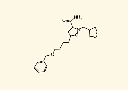 NC(=O)C1CC(CCCCOCc2ccccc2)ON1CC1CCOC1